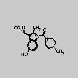 Cc1c(CC(=O)O)c2cc(O)ccc2n1C(=O)N1CCN(C)CC1